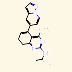 COc1nc(N[C@H](C)C(F)(F)F)nc2c1C(c1ccn3nccc3c1)=CCC2